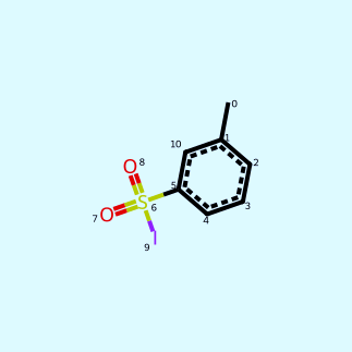 Cc1cccc(S(=O)(=O)I)c1